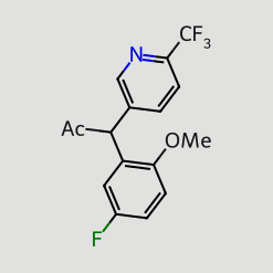 COc1ccc(F)cc1C(C(C)=O)c1ccc(C(F)(F)F)nc1